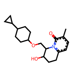 Cc1ccc2n(c1=O)C(COC1CCC(C3CC3)CC1)C(O)CC2